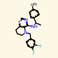 CCCc1ccc(C(C)Nc2nccc3c2N(Cc2ccc(F)c(F)c2)CCC3)cc1